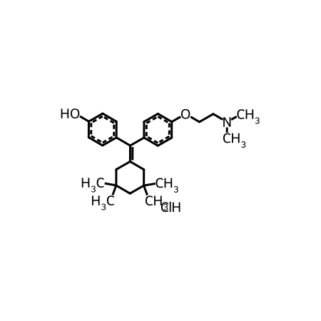 CN(C)CCOc1ccc(C(=C2CC(C)(C)CC(C)(C)C2)c2ccc(O)cc2)cc1.Cl